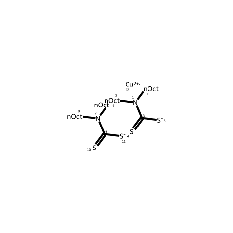 CCCCCCCCN(CCCCCCCC)C(=S)[S-].CCCCCCCCN(CCCCCCCC)C(=S)[S-].[Cu+2]